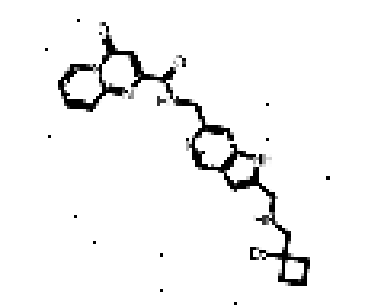 CCC1(CNCc2cc3cnc(CNC(=O)c4cc(=O)n5ccccc5n4)cc3[nH]2)CCC1